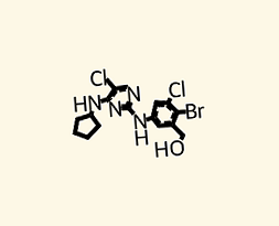 OCc1cc(Nc2ncc(Cl)c(NC3CCCC3)n2)cc(Cl)c1Br